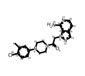 Cc1cc(N2CCN(C(=O)Cn3ncc4ccnc(N)c43)CC2)ccc1Cl